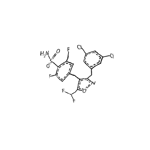 NS(=O)(=O)c1c(F)cc(-c2c(-c3cc(Cl)cc(Cl)c3)noc2C(F)F)cc1F